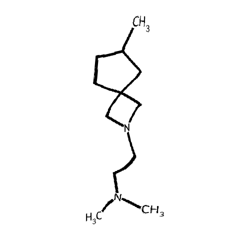 CC1CCC2(C1)CN(CCN(C)C)C2